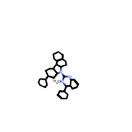 CN1C(C2CC=CCC2)C2CCC=CC2NC1N1C2CC(C3CCCCC3)CCC2C2C3=C(CCCC3)CCC21